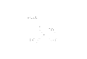 CCCCCCCCCCC(C(=O)O)(C(=O)O)C(=O)OCC